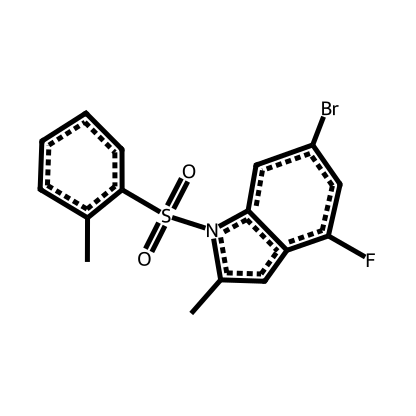 Cc1ccccc1S(=O)(=O)n1c(C)cc2c(F)cc(Br)cc21